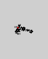 Cc1c(C(=O)N(Cc2ccc(OCCCN3CCCC3)cc2)C(C(=O)O)C(C)C)ccc2c1B(O)OC2